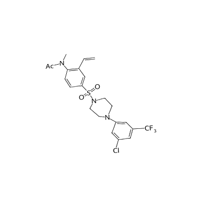 C=Cc1cc(S(=O)(=O)N2CCN(c3cc(Cl)cc(C(F)(F)F)c3)CC2)ccc1N(C)C(C)=O